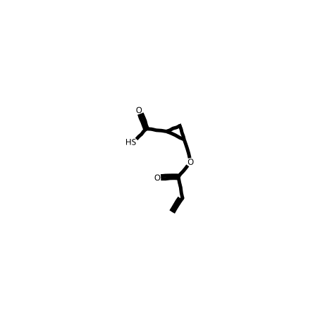 C=CC(=O)OC1CC1C(=O)S